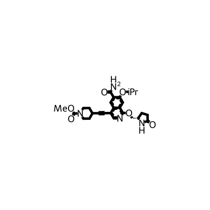 COC(=O)N1CCC(C#Cc2cnc(OC[C@@H]3CCC(=O)N3)c3cc(OC(C)C)c(C(N)=O)cc23)CC1